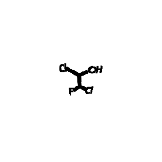 OC(Cl)C(F)Cl